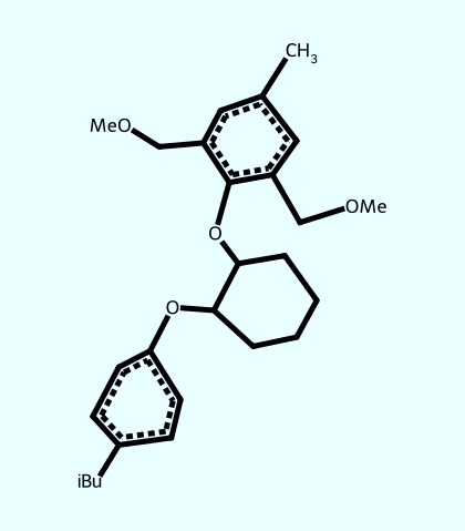 CCC(C)c1ccc(OC2CCCCC2Oc2c(COC)cc(C)cc2COC)cc1